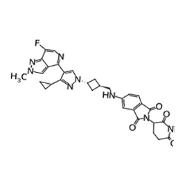 Cn1cc2c(-c3cn([C@H]4C[C@H](CNc5ccc6c(c5)C(=O)N(C5CCC(=O)NC5=O)C6=O)C4)nc3C3CC3)ncc(F)c2n1